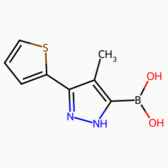 Cc1c(-c2cccs2)n[nH]c1B(O)O